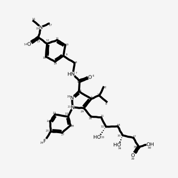 CC(C)c1c(C(=O)NCc2ccc(C(=O)N(C)C)cc2)nn(-c2ccc(F)cc2)c1CC[C@@H](O)C[C@@H](O)CC(=O)O